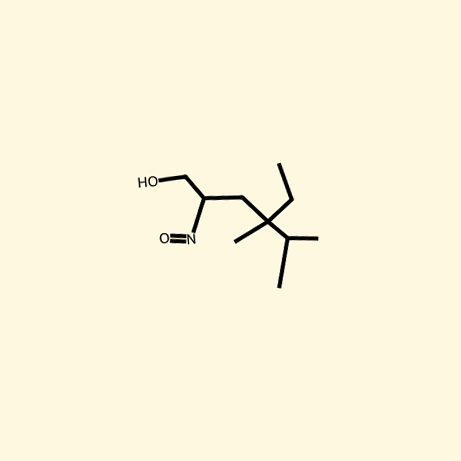 CCC(C)(CC(CO)N=O)C(C)C